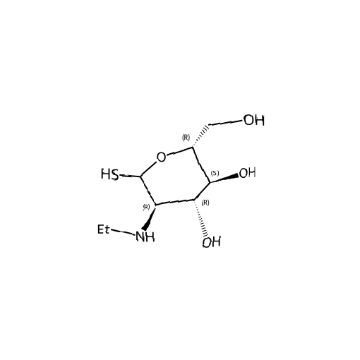 CCN[C@H]1C(S)O[C@H](CO)[C@@H](O)[C@@H]1O